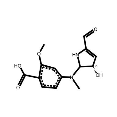 COc1cc(N(C)C2NC(C=O)=C[C@@H]2O)ccc1C(=O)O